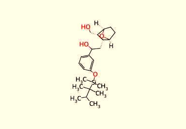 CC(C)C(C)(C)[Si](C)(C)Oc1cccc(C(O)C[C@@H]2[C@H](CO)[C@H]3CC[C@@H]2O3)c1